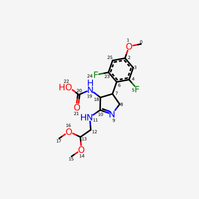 COc1cc(F)c(C2CN=C(NCC(OC)OC)C2NC(=O)O)c(F)c1